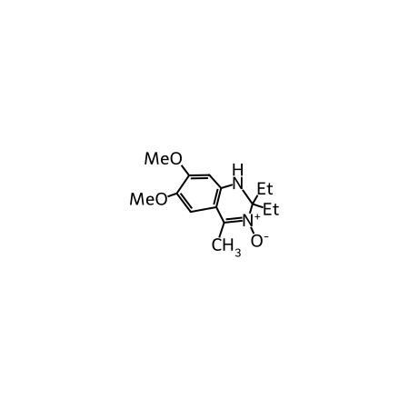 CCC1(CC)Nc2cc(OC)c(OC)cc2C(C)=[N+]1[O-]